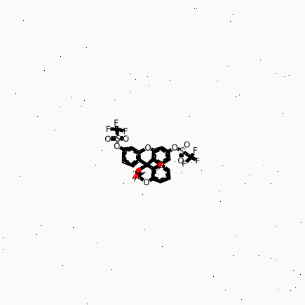 O=S(=O)(Oc1ccc2c(c1)Oc1cc(OS(=O)(=O)C(F)(F)F)ccc1C21c2ccccc2Oc2ccccc21)C(F)(F)F